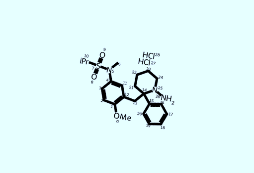 COc1ccc(N(C)S(=O)(=O)C(C)C)cc1CC1(c2ccccc2)CCCCN1N.Cl.Cl